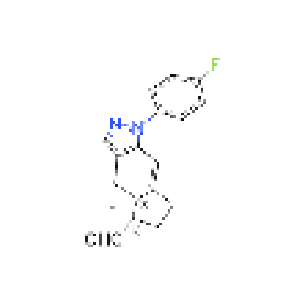 C[C@]12Cc3cnn(-c4ccc(F)cc4)c3C=C1CC[C@@H]2C=O